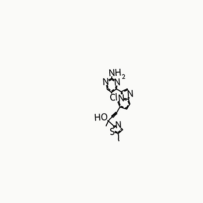 Cc1cnc(C(C)(O)C#Cc2ccc3ncc(-c4nc(N)ncc4Cl)n3c2)s1